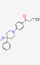 CCCC(=O)c1ccc(N2CCC(N)(c3ccccc3)CC2)cc1